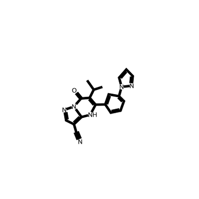 CC(C)c1c(-c2cccc(-n3cccn3)c2)[nH]c2c(C#N)cnn2c1=O